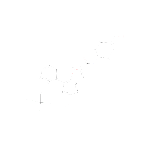 COc1cc(-c2ccccc2OCC(F)(F)F)c2oc(C(=O)NC3CCC(CO)CC3)cc2c1